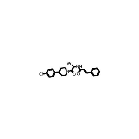 CC(C)[C@@H](NC(=O)C=Cc1ccccc1)C(=O)N1CCC(c2ccc(Cl)cc2)CC1